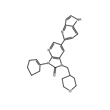 O=c1n(CC2CCOCC2)c2cc(-c3ccc4[nH]ccc4n3)cnc2n1C1=CCCCC1